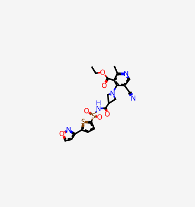 CCOC(=O)c1c(C)ncc(C#N)c1N1CC(C(=O)NS(=O)(=O)c2ccc(-c3ccon3)s2)C1